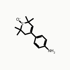 CC1(C)C=C(c2ccc(N)cc2)CC(C)(C)[S+]1[O-]